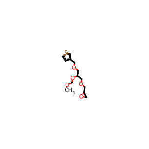 COCOC(COCc1ccsc1)COCC1CO1